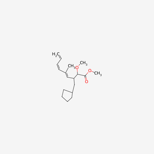 C=C/C=C\C(C)=C\C(CC1CCCC1)C(OC)C(=O)OC